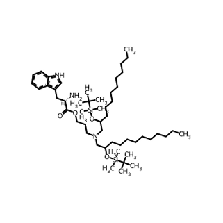 CCCCCCCCCCC(CN(CCCOC(=O)[C@@H](N)Cc1c[nH]c2ccccc12)CC(CCCCCCCCCC)O[Si](C)(C)C(C)(C)C)O[Si](C)(C)C(C)(C)C